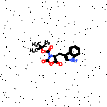 CC(C)(C)OC(=O)N1C(=O)OC(=O)[C@@H]1Cc1c[nH]c2ccccc12